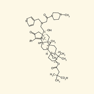 CC(C)C1=C2[C@H]3CC[C@@H]4[C@@]5(C)CC[C@H](OC(=O)CC(C)(C)C(=O)O)C(C)(C)[C@@H]5CC[C@@]4(C)[C@]3(C)CC[C@@]2([C@@H](O)CN(CC(=O)N2CCN(C)CC2)Cc2ccncc2)CC1=O